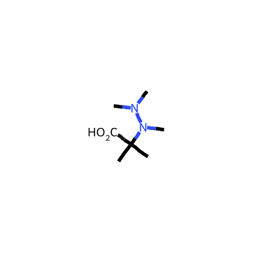 CN(C)N(C)C(C)(C)C(=O)O